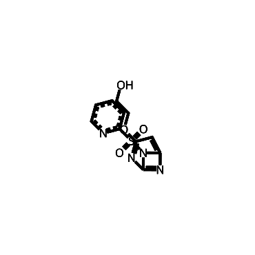 O=S(=O)(c1ccccn1)N1C2=CC(OCCO)=NC1=N2